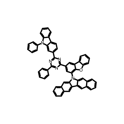 c1ccc(-c2nc(-c3cc(-n4c5cc6ccccc6cc5c5cc6ccccc6cc54)c4oc5ccccc5c4c3)nc(-c3ccc4c5ccccc5n(-c5ccccc5)c4c3)n2)cc1